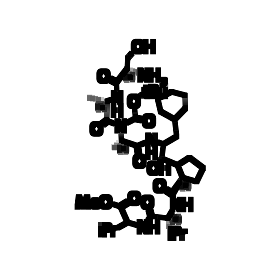 COC(=O)C(NC(=O)[C@H](NC(=O)[C@@H]1CCCC1C(O)C(CC1CCCCC1)NC(=O)[C@H](C)N(C(=O)OC(C)(C)C)C(=O)[C@H](C)NC(=O)[C@@H](N)CO)C(C)C)C(C)C